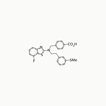 CSc1cccc(CCN(Cc2ccc(C(=O)O)cc2)c2nc3cccc(F)c3s2)c1